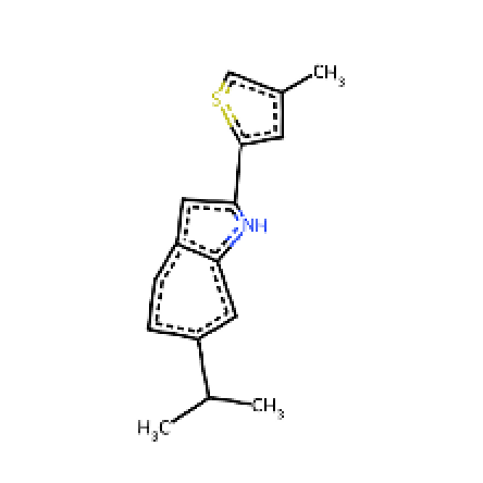 Cc1csc(-c2cc3ccc(C(C)C)cc3[nH]2)c1